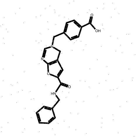 O=C(O)c1ccc(CN2C=Nc3oc(C(=O)NCc4ccccc4)cc3C2)cc1